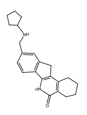 O=c1[nH]c2c(c3c1CCCC3)Cc1cc(CNC3CCCC3)ccc1-2